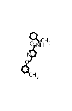 Cc1cccc(OCc2ccc(C(=O)N[C@H](C)C3CCCCC3)cn2)c1